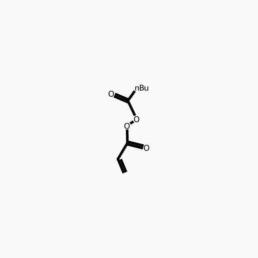 C=CC(=O)OOC(=O)CCCC